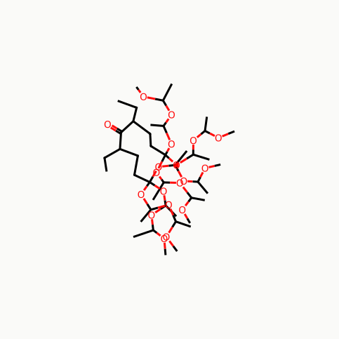 CCC(CCC(OC(C)OC(C)OC)(OC(C)OC(C)OC)OC(C)OC(C)OC)C(=O)C(CC)CCC(OC(C)OC(C)OC)(OC(C)OC(C)OC)OC(C)OC(C)OC